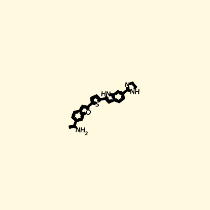 C=C(N)c1ccc2cc(-c3ccc(-c4cc5ccc(C6=NCCN6)cc5[nH]4)s3)oc2c1